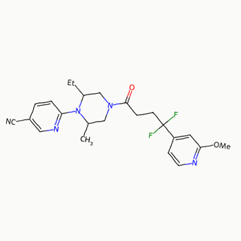 CCC1CN(C(=O)CCC(F)(F)c2ccnc(OC)c2)CC(C)N1c1ccc(C#N)cn1